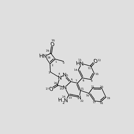 CC1=C(Cn2nc3c(-c4ccc(=O)[nH]c4)c(-c4ccccc4)nc(N)n3c2=O)NC1=O